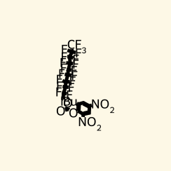 CCC(C)c1cc([N+](=O)[O-])cc([N+](=O)[O-])c1OC(=O)OCC(F)(F)C(F)(F)C(F)(F)C(F)(F)C(F)(F)C(F)(F)C(F)(F)C(F)(F)C(F)(F)F